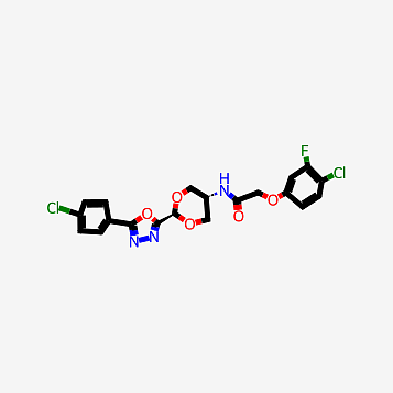 O=C(COc1ccc(Cl)c(F)c1)N[C@H]1CO[C@H](c2nnc(-c3ccc(Cl)cc3)o2)OC1